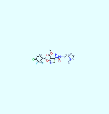 COC(=O)c1c(OCc2c(F)cc(Cl)c(F)c2F)nsc1NC(=O)NCCC1CCCN1C